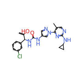 C=C(O)[C@@H](NC(=O)Nc1cnn(-c2nc(NC3CC3)ncc2C)c1)c1cccc(Cl)c1